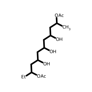 CCC(CC(O)CC(O)CC(O)CC(C)OC(C)=O)OC(C)=O